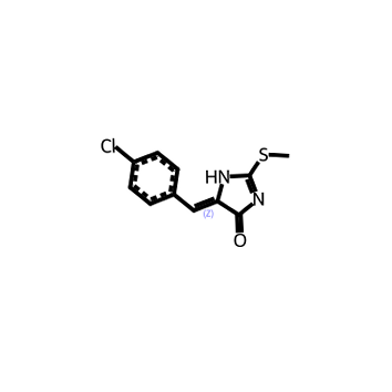 CSC1=NC(=O)/C(=C/c2ccc(Cl)cc2)N1